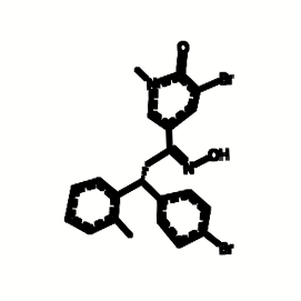 Cc1ccccc1[C@H](CC(=NO)c1cc(Br)c(=O)n(C)c1)c1ccc(Br)cc1